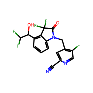 N#Cc1cc(CN2C(=O)C(F)(F)c3c(C(O)C(F)F)cccc32)c(F)cn1